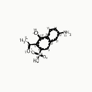 CC(=O)c1c(S(=O)(=O)O)cc2cc(N)ccc2c1[O]